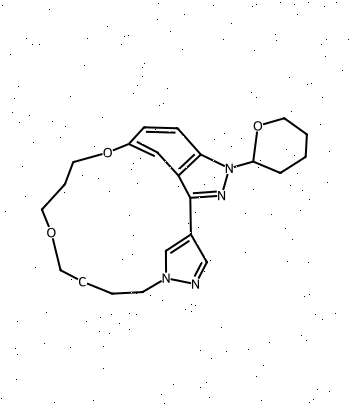 c1cc2c3cc1OCCCOCCCCn1cc(cn1)-c3nn2C1CCCCO1